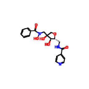 O=C(NC[C@H]1OC[C@@](O)(CN(O)C(=O)c2ccccc2)[C@@H]1O)c1ccncc1